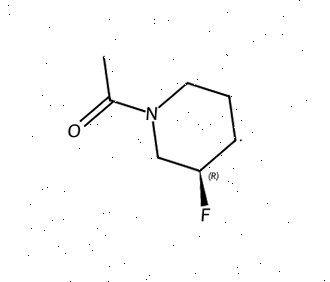 CC(=O)N1CC[CH][C@@H](F)C1